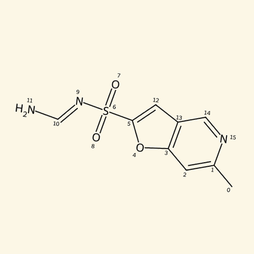 Cc1cc2oc(S(=O)(=O)N=CN)cc2cn1